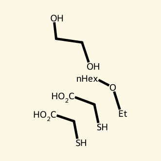 CCCCCCOCC.O=C(O)CS.O=C(O)CS.OCCO